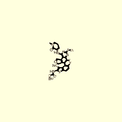 CCSc1nc(N[C@@H]2CCCN(C)C2=O)c2c3c(c(-c4c(F)ccc5sc(NC(=O)OC(C)(C)C)c(C#N)c45)c(F)c2n1)COC3